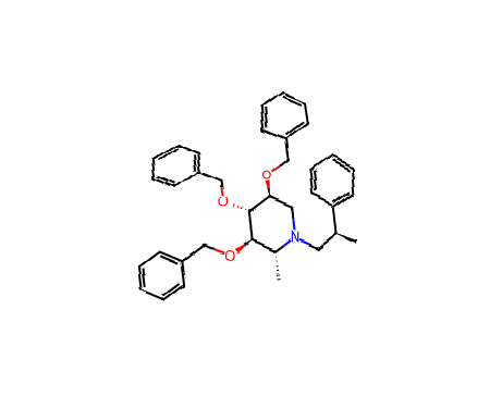 C[C@@H]1[C@@H](OCc2ccccc2)[C@H](OCc2ccccc2)[C@@H](OCc2ccccc2)CN1C[C@H](C)c1ccccc1